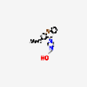 COc1ccc2c(c1)C(N1CCN(CCCO)CC1)=Cc1ccccc1S2